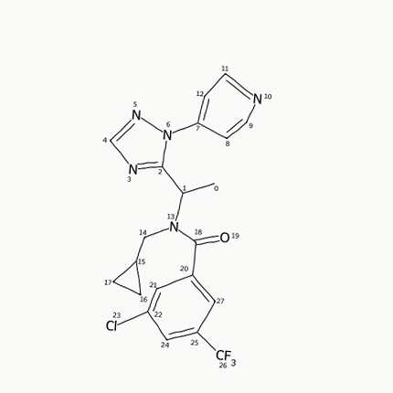 CC(c1ncnn1-c1ccncc1)N(CC1CC1)C(=O)c1cc(Cl)cc(C(F)(F)F)c1